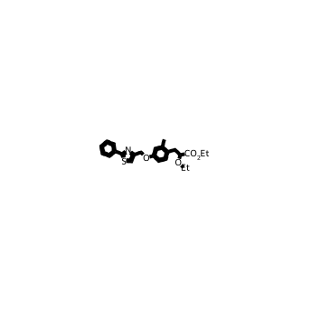 CCOC(=O)C(Cc1ccc(OCc2csc(-c3ccccc3)n2)cc1C)OCC